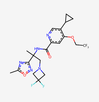 Cc1nc(C(C)(CN2CC(F)(F)C2)NC(=O)c2cc(OCC(F)(F)F)c(C3CC3)cn2)no1